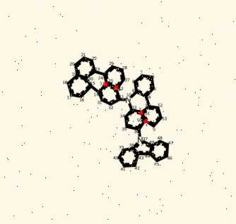 c1ccc(-c2ccccc2N(c2ccc(-c3cccc4cccc(-c5ccccc5)c34)cc2)c2ccc(-n3c4ccccc4c4ccccc43)cc2)cc1